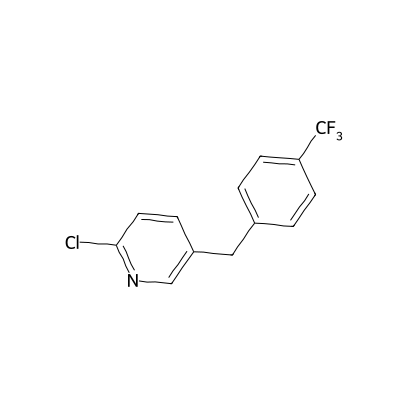 FC(F)(F)c1ccc(Cc2ccc(Cl)nc2)cc1